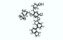 CS(=O)(=O)c1cncc(COc2nc(O[C@H]3CCc4c(-c5cccc6c5CCC6)cccc43)c(Cl)cc2CN2CC[C@@H](O)C2)c1